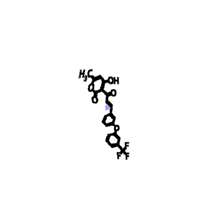 Cc1cc(O)c(C(=O)/C=C/c2cccc(Oc3cccc(C(F)(F)F)c3)c2)c(=O)o1